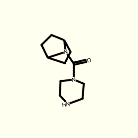 O=C(N1CCNCC1)N1C2CCC1CC2